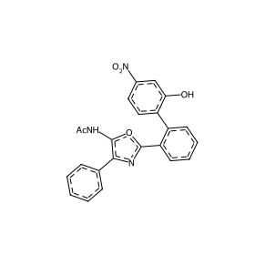 CC(=O)Nc1oc(-c2ccccc2-c2ccc([N+](=O)[O-])cc2O)nc1-c1ccccc1